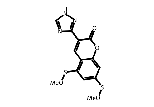 COSc1cc(SOC)c2cc(-c3nc[nH]n3)c(=O)oc2c1